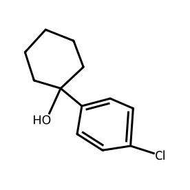 OC1(c2ccc(Cl)cc2)CCCCC1